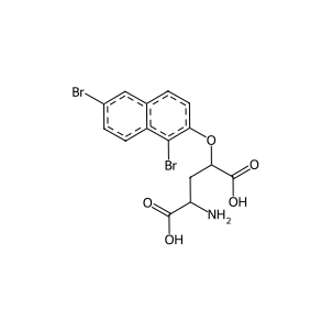 NC(CC(Oc1ccc2cc(Br)ccc2c1Br)C(=O)O)C(=O)O